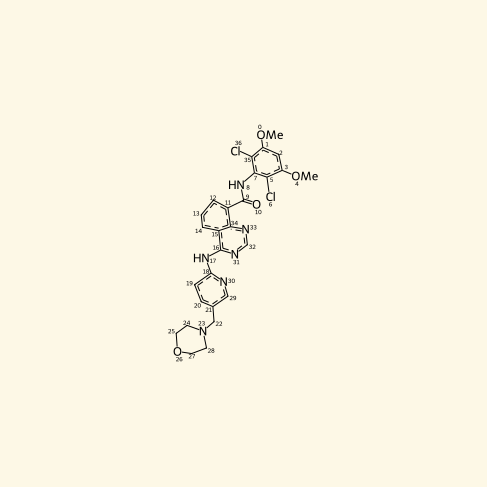 COc1cc(OC)c(Cl)c(NC(=O)c2cccc3c(Nc4ccc(CN5CCOCC5)cn4)ncnc23)c1Cl